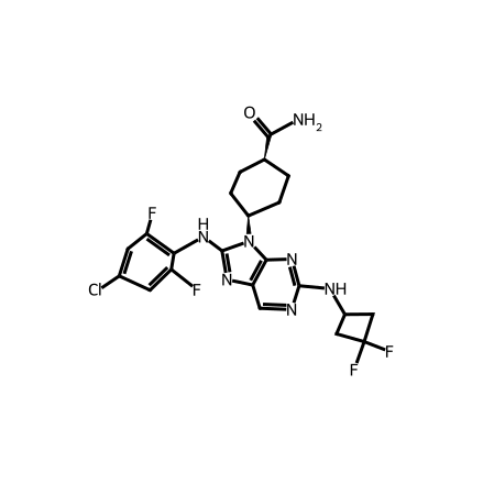 NC(=O)[C@H]1CC[C@@H](n2c(Nc3c(F)cc(Cl)cc3F)nc3cnc(NC4CC(F)(F)C4)nc32)CC1